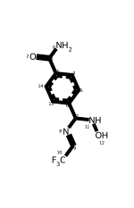 NC(=O)c1ccc(C(/N=C/C(F)(F)F)NO)cc1